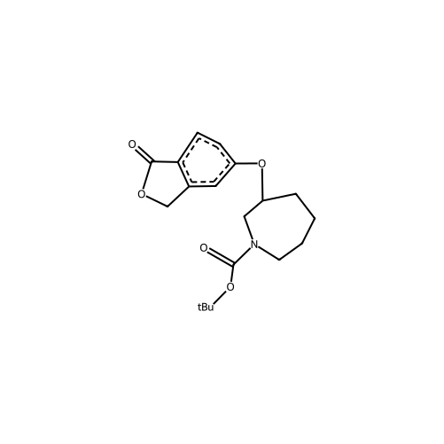 CC(C)(C)OC(=O)N1CCCCC(Oc2ccc3c(c2)COC3=O)C1